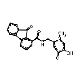 Cn1cc(O)c(=O)cc1CNC(=O)c1cccc2c1C(=O)c1ccccc1-2